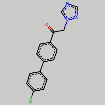 O=C(Cn1cncn1)c1ccc(-c2ccc(Cl)cc2)cc1